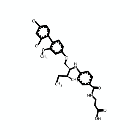 CC[C@H](C)[C@@H](COc1ccc(-c2ccc(Cl)cc2Cl)c(OC)c1)Nc1ccc(C(=O)NCCC(=O)O)cc1